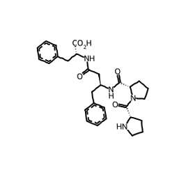 O=C(C[C@H](Cc1ccccc1)NC(=O)[C@@H]1CCCN1C(=O)[C@@H]1CCCN1)N[C@H](Cc1ccccc1)C(=O)O